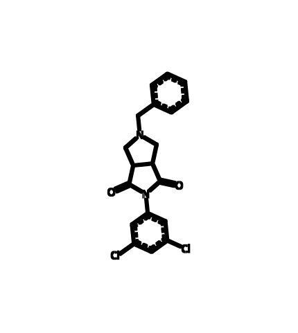 O=C1C2CN(Cc3ccccc3)CC2C(=O)N1c1cc(Cl)cc(Cl)c1